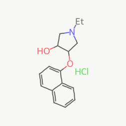 CCN1CC(O)C(Oc2cccc3ccccc23)C1.Cl